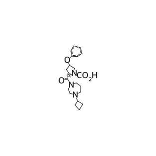 O=C([C@@H]1CC(Oc2ccccc2)CN1C(=O)O)N1CCCN(C2CCC2)CC1